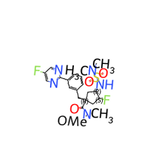 CON(C)C(=O)[C@@]1(Cc2cccc(-c3ncc(F)cn3)c2)C[C@H](F)[C@H](NS(=O)(=O)N(C)C)C1